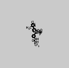 Cc1cc(Cl)nnc1-c1ccn2c(-c3cccc(NC(=O)NCC(F)(F)F)c3)cnc2c1.O=C(O)C(F)(F)F